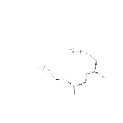 CCCCCCCC(C)CCC(C)CCO